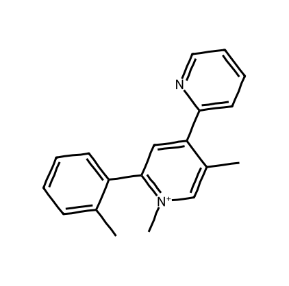 Cc1c[n+](C)c(-c2ccccc2C)cc1-c1ccccn1